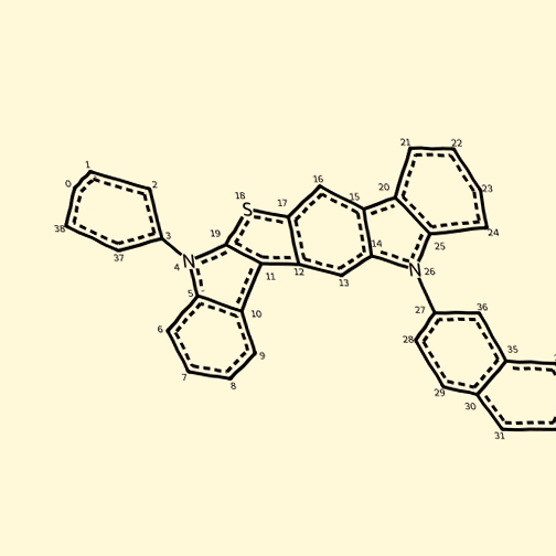 c1ccc(-n2c3ccccc3c3c4cc5c(cc4sc32)c2ccccc2n5-c2ccc3ccccc3c2)cc1